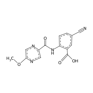 COc1cnc(C(=O)Nc2ccc(C#N)cc2C(=O)O)cn1